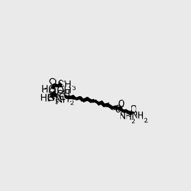 CC(N)C(=O)O.CC(O)C(=O)O.CCCCCCCCCCCCCCCCOC(=O)C(N)CCC(N)=O